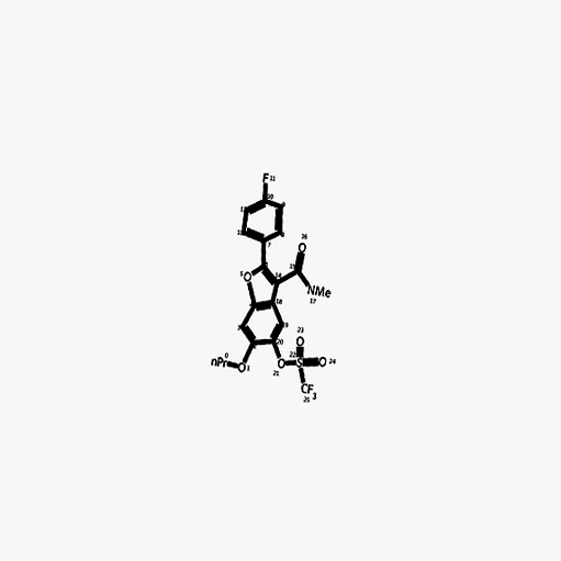 CCCOc1cc2oc(-c3ccc(F)cc3)c(C(=O)NC)c2cc1OS(=O)(=O)C(F)(F)F